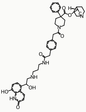 O=C(Cc1ccc(CC(=O)N2CCC(C(=O)O[C@H]3CN4CCC3CC4)(c3ccccc3)CC2)cc1)NCCCNCC(O)c1ccc(O)c2[nH]c(=O)ccc12